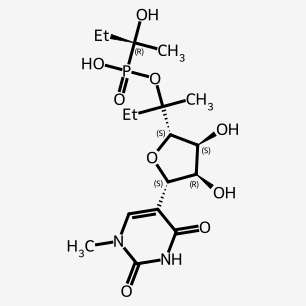 CCC(C)(OP(=O)(O)[C@@](C)(O)CC)[C@H]1O[C@@H](c2cn(C)c(=O)[nH]c2=O)[C@H](O)[C@@H]1O